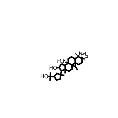 CC1C23CCC(F)(F)[C@@](C)(N)C2CCC2(N)C4CC(O)C(C5(C)CCC(C(C)(C)O)C5)C4(C)CCC123